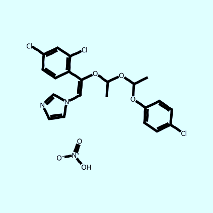 CC(OC(=Cn1ccnc1)c1ccc(Cl)cc1Cl)OC(C)Oc1ccc(Cl)cc1.O=[N+]([O-])O